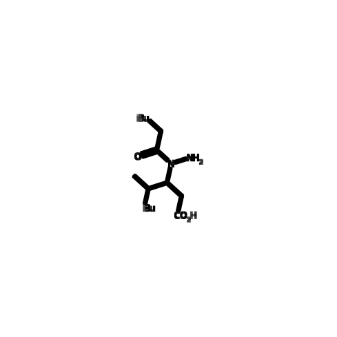 CCC(C)CC(=O)N(N)C(CC(=O)O)C(C)C(C)CC